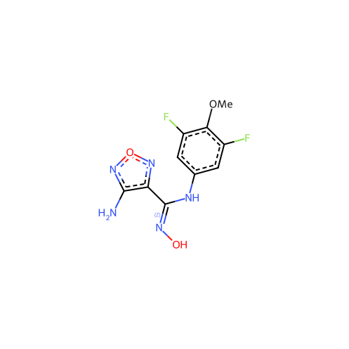 COc1c(F)cc(N/C(=N\O)c2nonc2N)cc1F